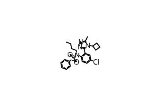 CCCCN(c1ccc(Cl)cc1-c1nnc(C)n1C1CCC1)S(=O)(=O)c1ccccc1